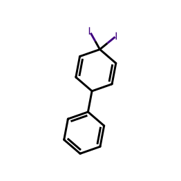 IC1(I)C=CC(c2ccccc2)C=C1